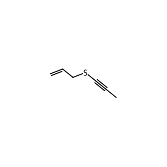 C=CCSC#CC